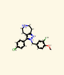 COc1ccc(Cn2nc3c(c2-c2ccc(Cl)cc2)CCNCC3)cc1F